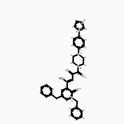 O=C(/C=C(\O)c1cc(Cc2ccccc2)cn(Cc2ccccc2)c1=O)C(=O)N1CCN(c2ccc(-n3ccnc3)cc2)CC1